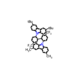 Cc1ccc2c(c1)c1cc(C)ccc1n2-c1ccc(C(F)(F)F)cc1-c1cc(C(F)(F)F)ccc1-n1c2ccc(C(C)(C)C)cc2c2cc(C(C)(C)C)ccc21